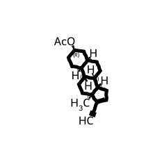 C#CC1=CC[C@H]2[C@@H]3CC[C@@H]4C[C@H](OC(C)=O)CC[C@@H]4[C@H]3CC[C@]12C